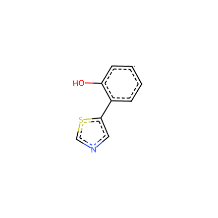 Oc1c[c]ccc1-c1cncs1